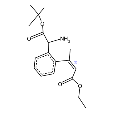 CCOC(=O)/C=C(/C)c1ccccc1C(N)C(=O)OC(C)(C)C